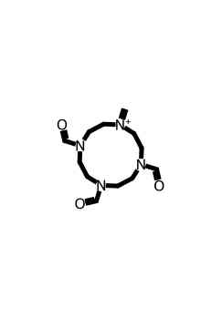 C=[N+]1CCN(C=O)CCN(C=O)CCN(C=O)CC1